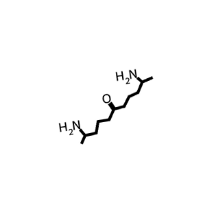 CC(N)CCCC(=O)CCCC(C)N